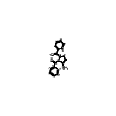 NC1CCN(C(=O)c2ccccn2)C1C(=O)c1ccccn1